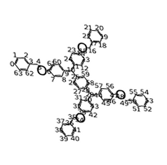 c1ccc(COc2ccc(C(c3ccc(OCc4ccccc4)cc3)c3ccc(C(c4ccc(OCc5ccccc5)cc4)c4ccc(OCc5ccccc5)cc4)cc3)cc2)cc1